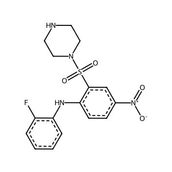 O=[N+]([O-])c1ccc(Nc2ccccc2F)c(S(=O)(=O)N2CCNCC2)c1